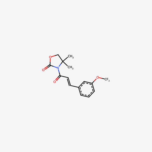 CC1(C)COC(=O)N1C(=O)C=Cc1cccc(OC(F)(F)F)c1